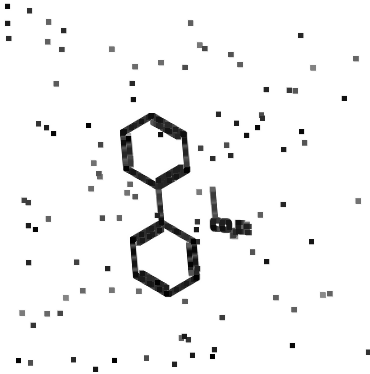 CCOC(C)=O.c1ccc(-c2ccccc2)cc1